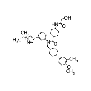 COc1ccc([C@H]2CC[C@H](CN(c3cccc(-c4cnn(C(C)C)c4)c3)C(=O)[C@H]3CC[C@H](NC(=O)CO)CC3)CC2)cc1C